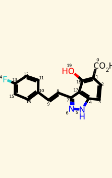 O=C(O)c1ccc2[nH]nc(/C=C/c3ccc(F)cc3)c2c1O